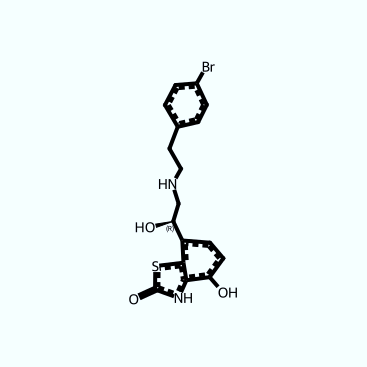 O=c1[nH]c2c(O)ccc([C@@H](O)CNCCc3ccc(Br)cc3)c2s1